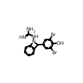 N=C(N)NN1c2ccccc2C1c1cc(Br)c(O)c(Br)c1